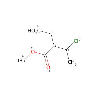 CC(Cl)C(CC(=O)O)C(=O)OC(C)(C)C